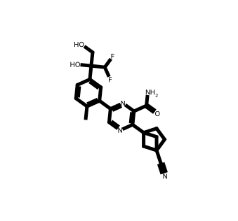 Cc1ccc(C(O)(CO)C(F)F)cc1-c1cnc(C23CCC(C#N)(C2)C3)c(C(N)=O)n1